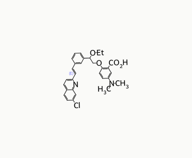 CCOC(COc1ccc(N(C)C)cc1C(=O)O)c1cccc(/C=C/c2ccc3ccc(Cl)cc3n2)c1